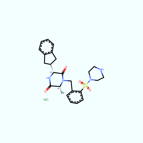 CC(C)[C@@H]1C(=O)N[C@H](C2Cc3ccccc3C2)C(=O)N1Cc1ccccc1S(=O)(=O)N1CCNCC1.Cl